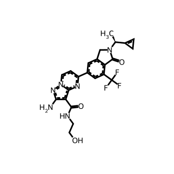 C[C@@H](C1=CC1)N1Cc2cc(-c3ccn4nc(N)c(C(=O)NCCO)c4n3)cc(C(F)(F)F)c2C1=O